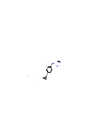 CCOC(=O)C1CC1c1ccc(Cn2ccnc2)c(F)c1